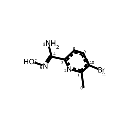 Cc1nc(C(N)=NO)ccc1Br